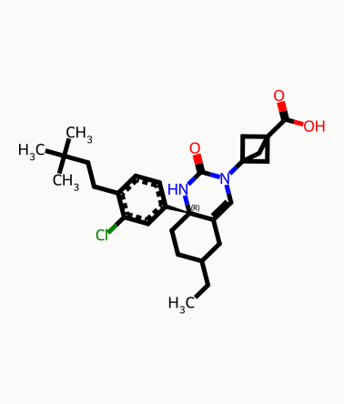 CCC1CC[C@]2(c3ccc(CCC(C)(C)C)c(Cl)c3)NC(=O)N(C34CC(C(=O)O)(C3)C4)C=C2C1